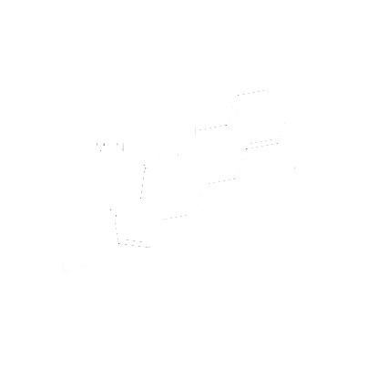 CCOC(=O)c1cc(OCCc2c(Cl)cccc2Cl)c(C(=O)NC)[nH]1